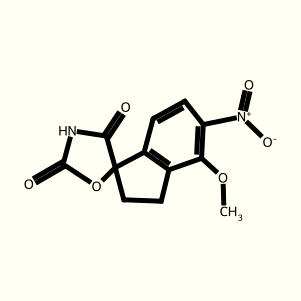 COc1c([N+](=O)[O-])ccc2c1CCC21OC(=O)NC1=O